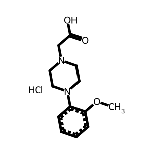 COc1ccccc1N1CCN(CC(=O)O)CC1.Cl